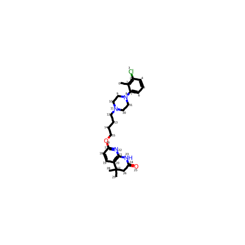 Cc1c(Cl)cccc1N1CCN(CCCCOc2ccc3c(n2)NC(=O)CC3(C)C)CC1